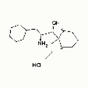 CCCC1(C(O)[C@@H](N)CC2CCCCC2)SCCCS1.Cl